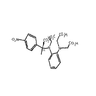 C[C@](C(=O)O)(c1ccc([N+](=O)[O-])cc1)N(CC(=O)O)c1ccccc1N(CC(=O)O)CC(=O)O